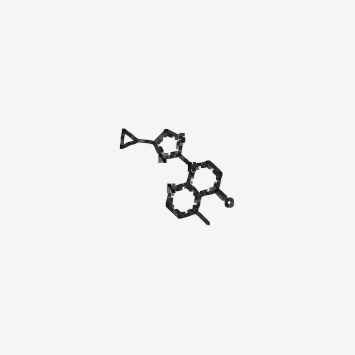 Cc1ccnc2c1c(=O)ccn2-c1nc(C2CC2)cs1